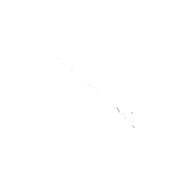 C=C(O)CN1C(=O)CC(C=CCCCCCCCCCCCCCCCCCCCCC)C1=O